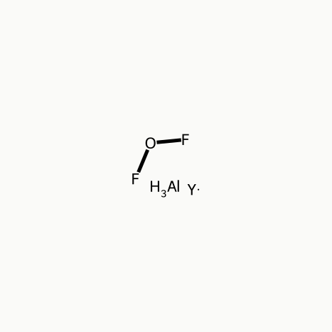 FOF.[AlH3].[Y]